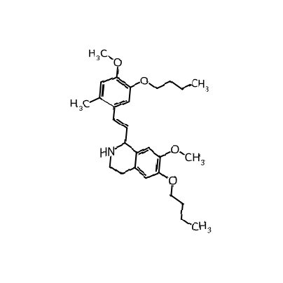 CCCCOc1cc(/C=C/C2NCCc3cc(OCCCC)c(OC)cc32)c(C)cc1OC